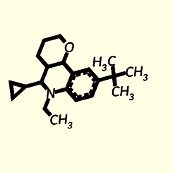 CCN1c2ccc(C(C)(C)C)cc2C2OCCCC2C1C1CC1